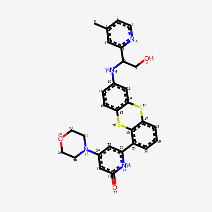 Cc1ccnc(C(CO)Nc2ccc3c(c2)Sc2cccc(-c4cc(N5CCOCC5)cc(=O)[nH]4)c2S3)c1